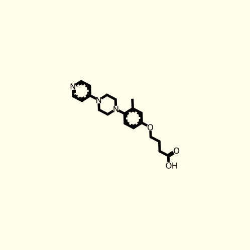 Cc1cc(OCCCC(=O)O)ccc1N1CCN(c2ccncc2)CC1